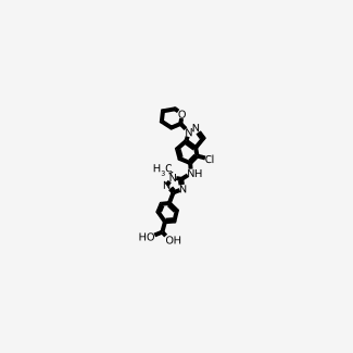 Cn1nc(-c2ccc(C(O)O)cc2)nc1Nc1ccc2c(cnn2C2CCCCO2)c1Cl